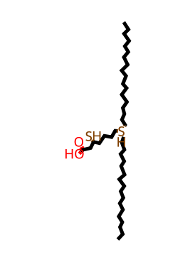 CCCCCCCCCCCCCCCCCC[SH](CCCCCCCCCCCCCCCCCC)CCCCC(S)CC(=O)O